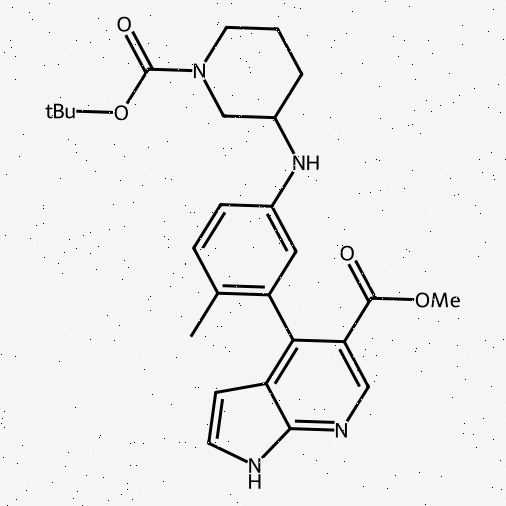 COC(=O)c1cnc2[nH]ccc2c1-c1cc(NC2CCCN(C(=O)OC(C)(C)C)C2)ccc1C